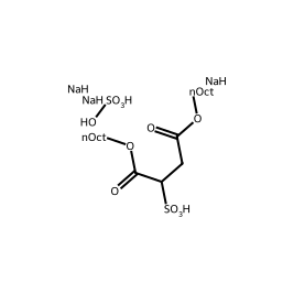 CCCCCCCCOC(=O)CC(C(=O)OCCCCCCCC)S(=O)(=O)O.O=S(=O)(O)O.[NaH].[NaH].[NaH]